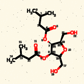 CC(C)CC(=O)O[C@H]1[C@H](OC(=O)CC(C)C)[C](CO)O[C@@H]1CO